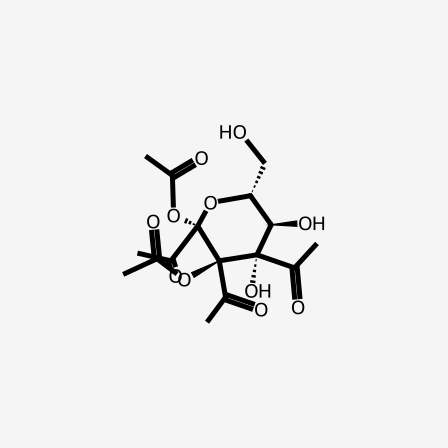 CC(=O)O[C@]1(C(C)=O)O[C@H](CO)[C@@H](O)[C@@](O)(C(C)=O)[C@]1(OC(C)=O)C(C)=O